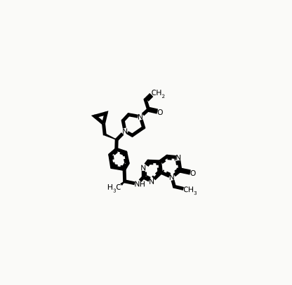 C=CC(=O)N1CCN([C@H](CC2CC2)c2ccc([C@H](C)Nc3ncc4cnc(=O)n(CC)c4n3)cc2)CC1